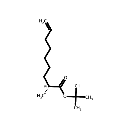 C=CCCCCC[C@@H](C)C(=O)OC(C)(C)C